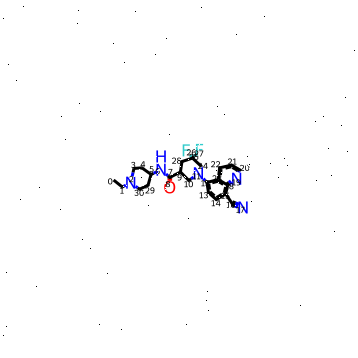 CCN1CCC(NC(=O)C2CN(c3ccc(C#N)c4ncccc34)CC(F)(F)C2)CC1